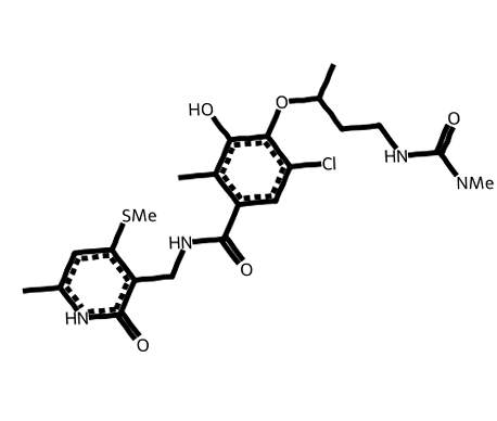 CNC(=O)NCCC(C)Oc1c(Cl)cc(C(=O)NCc2c(SC)cc(C)[nH]c2=O)c(C)c1O